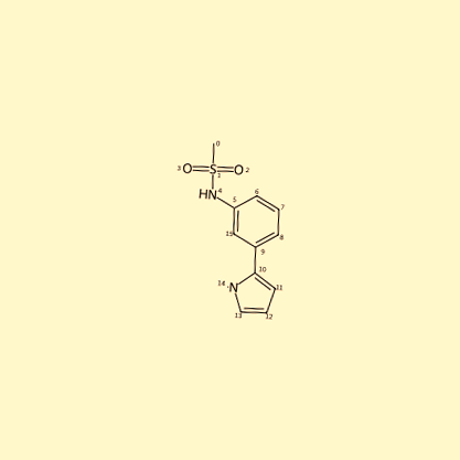 CS(=O)(=O)Nc1cccc(C2=CC=C[N]2)c1